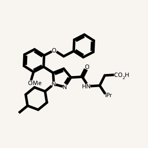 COc1cccc(OCc2ccccc2)c1-c1cc(C(=O)NC(CC(=O)O)C(C)C)nn1C1CCC(C)CC1